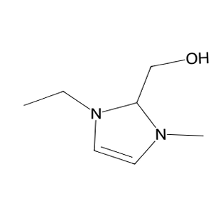 CCN1C=CN(C)C1CO